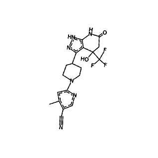 Cc1cc(N2CCC(c3n[nH]c4c3C(O)(C(F)(F)F)CC(=O)N4)CC2)ncc1C#N